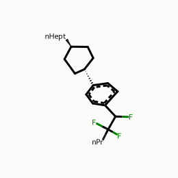 CCCCCCC[C@H]1CC[C@H](c2ccc(C(F)C(F)(F)CCC)cc2)CC1